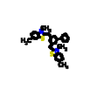 Cc1ccc2c(c1)S/C(=C\C1=CC(=C/C3Sc4cc(C)ccc4N3C)/CC(c3ccccc3)C1)N2C